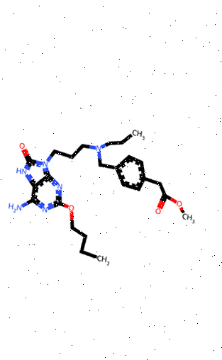 CCCCOc1nc(N)c2[nH]c(=O)n(CCCN(CCC)Cc3ccc(CC(=O)OC)cc3)c2n1